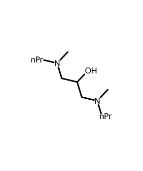 CCCN(C)CC(O)CN(C)CCC